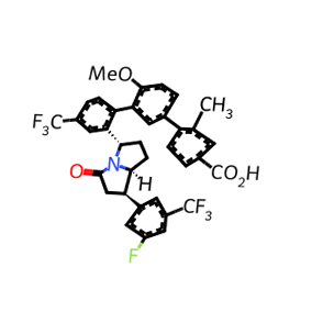 COc1ccc(-c2ccc(C(=O)O)cc2C)cc1-c1ccc(C(F)(F)F)cc1[C@@H]1CC[C@H]2[C@@H](c3cc(F)cc(C(F)(F)F)c3)CC(=O)N12